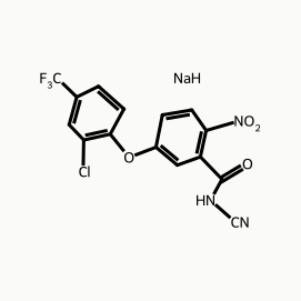 N#CNC(=O)c1cc(Oc2ccc(C(F)(F)F)cc2Cl)ccc1[N+](=O)[O-].[NaH]